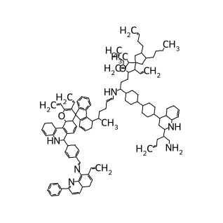 C=CCCC1CC(C(C)C=C)(C(C=C)C(CCC(N/C=C/CCC(C)C2CC=CC3=C2c2ccccc2C32C(C=C)=C(C=C)OC3C4=C(C=CC32)C(C2C=CC(/C=N/C3=C5N=C(c6ccccc6)C=CC5CC=C3C=C)=CC2)NC2=C4CCC=C2)C2CCC(C3CCC(C4CC(C(CN)CC=C)NC5C=CCCC54)CC3)CC2)OCC=C)CC1CCCC